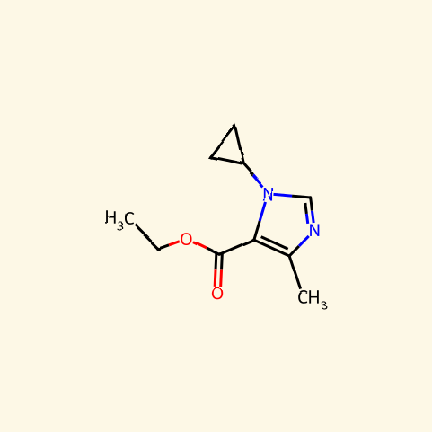 CCOC(=O)c1c(C)ncn1C1CC1